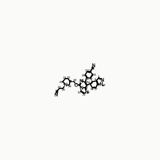 Cn1ncc2cc(-c3c(-c4ccc(C#N)cc4)nc(OC[C@@H]4CCCN(CCC#N)C4)n4ccnc34)ccc21